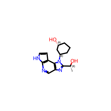 C[C@@H](O)c1nc2cnc3[nH]ccc3c2n1[C@@H]1CCC[C@@H](O)C1